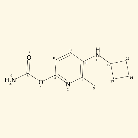 Cc1nc(OC(N)=O)ccc1NC1CCC1